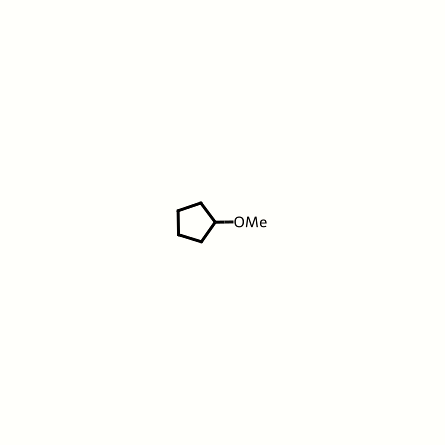 [CH]OC1CCCC1